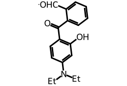 CCN(CC)c1ccc(C(=O)c2ccccc2[C]=O)c(O)c1